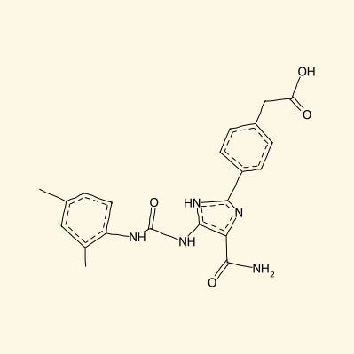 Cc1ccc(NC(=O)Nc2[nH]c(-c3ccc(CC(=O)O)cc3)nc2C(N)=O)c(C)c1